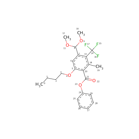 CCCCOc1cc(C(OC)OC)c(C(F)(F)F)c(C)c1C(=O)Oc1ccccc1